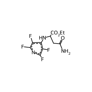 CCOC(=O)C(CC(N)=O)Nc1c(F)c(F)nc(F)c1F